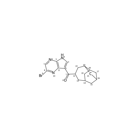 O=C(c1c[nH]c2ncc(Br)nc12)C1CC2CC3CC(C2)C(C3)C1